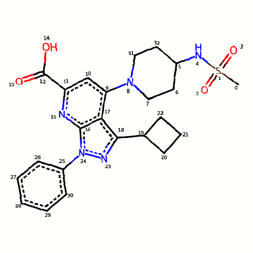 CS(=O)(=O)NC1CCN(c2cc(C(=O)O)nc3c2c(C2CCC2)nn3-c2ccccc2)CC1